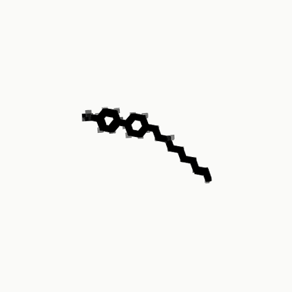 C/C=C/CCCCOCCC1CCC(c2ccc(C#N)cc2)CC1